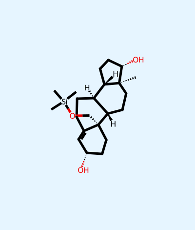 C[C@]12CC[C@H]3[C@@H](CCC4=C[C@@H](O)CC[C@@]43CO[Si](C)(C)C)[C@@H]1CC[C@@H]2O